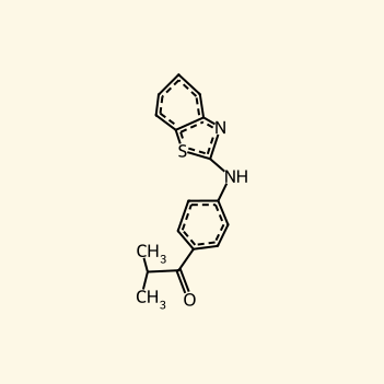 CC(C)C(=O)c1ccc(Nc2nc3ccccc3s2)cc1